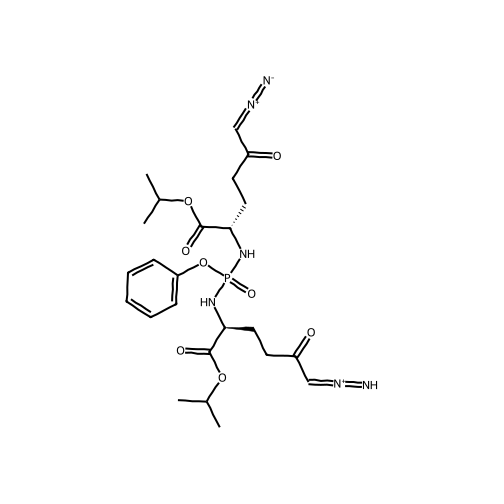 CC(C)OC(=O)[C@H](CCC(=O)C=[N+]=[N-])NP(=O)(N[C@@H](CCC(=O)C=[N+]=N)C(=O)OC(C)C)Oc1ccccc1